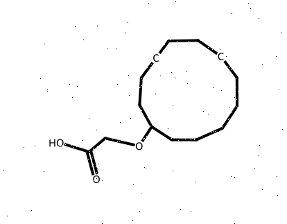 O=C(O)COC1CCCCCCCCCCC1